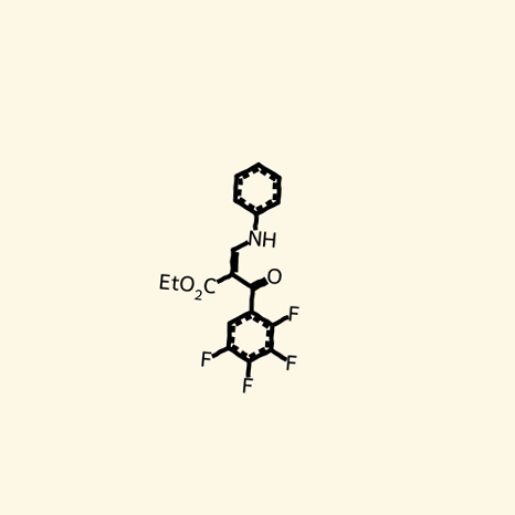 CCOC(=O)C(=CNc1ccccc1)C(=O)c1cc(F)c(F)c(F)c1F